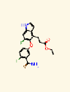 CCOC(=O)CCc1c(Oc2ccc(F)c(C(N)=S)c2)c(F)cc2[nH]ccc12